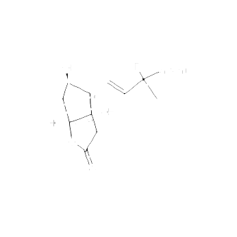 CCCCCC(F)(F)C=C[C@@H]1[C@H]2CC(=O)O[C@H]2C[C@H]1O